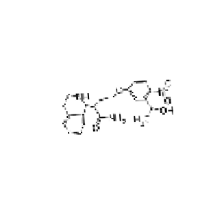 CC(O)c1cc(OCCC(C(N)=O)C2NCCc3ccccc32)ccc1[N+](=O)[O-]